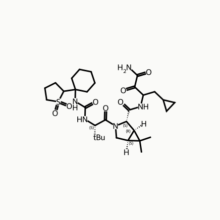 CC(C)(C)[C@H](NC(=O)NC1(C2CCCS2(=O)=O)CCCCC1)C(=O)N1C[C@H]2[C@@H]([C@H]1C(=O)NC(CC1CC1)C(=O)C(N)=O)C2(C)C